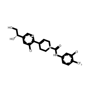 O=C(Nc1ccc(C(F)(F)F)c(Cl)c1)N1CC=C(c2ncc([C@H](O)CO)cc2Cl)CC1